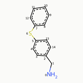 NCc1ccc(Sc2ccccc2)cc1